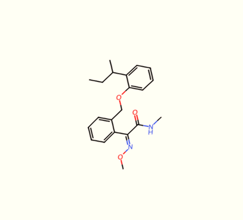 CCC(C)c1ccccc1OCc1ccccc1/C(=N\OC)C(=O)NC